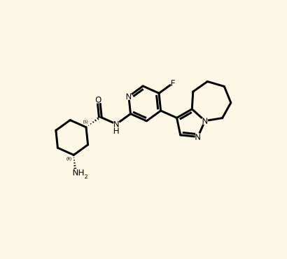 N[C@@H]1CCC[C@H](C(=O)Nc2cc(-c3cnn4c3CCCCC4)c(F)cn2)C1